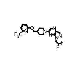 FC(F)Cn1ncc2ncc(N3CCC(COc4cccc(C(F)(F)F)n4)CC3)nc21